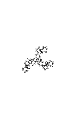 CC1(C)C2=C(c3ccc(N(C4=CCC(C5=CCCc6c5sc5ccccc65)C=C4)c4ccc(-c5cccc6c5oc5ccccc56)cc4)cc31)c1oc3c(c1CC2)CCC=C3